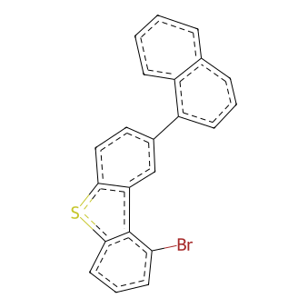 Brc1cccc2sc3ccc(-c4cccc5ccccc45)cc3c12